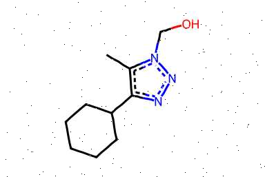 Cc1c(C2CCCCC2)nnn1CO